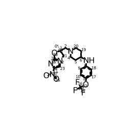 C[C@]1(CN2CCC(Nc3ccc(OC(F)(F)F)cc3)CC2)Cn2cc([N+](=O)[O-])nc2O1